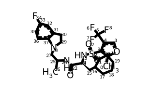 Cc1occ(C(F)(F)F)c1S(=O)(=O)N[C@@H](CC1CCCCC1)C(=O)NC(C)CN1CCc2cc(F)ccc21